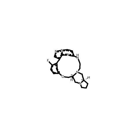 Fc1ccc2cc1-c1cnn3ccc(nc13)NCCN1C[C@H]3CCCN3C[C@@H]1CO2